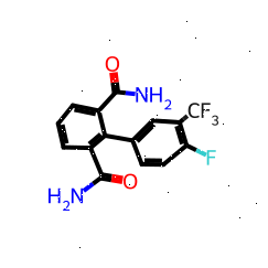 NC(=O)c1cccc(C(N)=O)c1-c1ccc(F)c(C(F)(F)F)c1